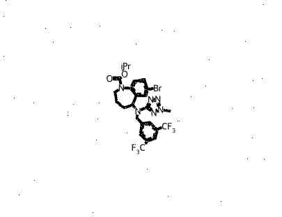 CC(C)OC(=O)N1CCCC(N(Cc2cc(C(F)(F)F)cc(C(F)(F)F)c2)c2nnn(C)n2)c2cc(Br)ccc21